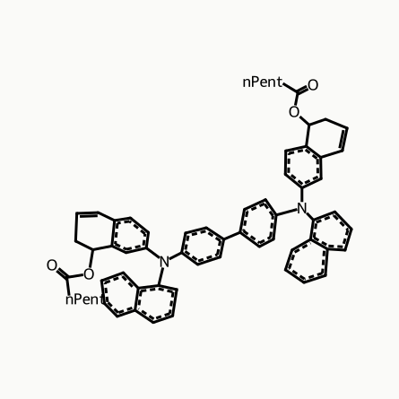 CCCCCC(=O)OC1CC=Cc2cc(N(c3ccc(-c4ccc(N(c5ccc6c(c5)C(OC(=O)CCCCC)CC=C6)c5cccc6ccccc56)cc4)cc3)c3cccc4ccccc34)ccc21